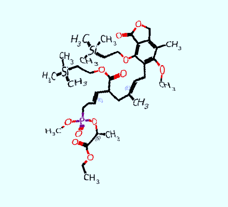 CCOC(=O)[C@H](C)OP(=O)(C/C=C/C(C/C(C)=C/Cc1c(OC)c(C)c2c(c1OCC[Si](C)(C)C)C(=O)OC2)C(=O)OCC[Si](C)(C)C)OC